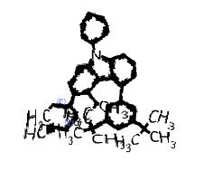 C#C/C=C\C(=C/C)c1ccc2c(c1C(C)C)c1c(-c3cc(C(C)(C)C)cc(C(C)(C)C)c3)cccc1n2-c1ccccc1